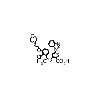 C[C@@H](Oc1cc(-n2cnc3ccccc32)sc1C(=O)O)c1cccc(OCCN2CCOCC2)c1Cl